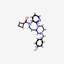 O=C(C1CCC1)N1CCC2CN(Cc3ccc(F)cc3)CCN2c2ncccc21